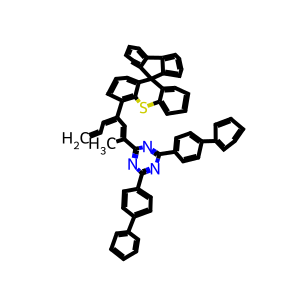 C=C/C=C(\C=C(/C)c1nc(-c2ccc(-c3ccccc3)cc2)nc(-c2ccc(-c3ccccc3)cc2)n1)c1cccc2c1Sc1ccccc1C21c2ccccc2-c2ccccc21